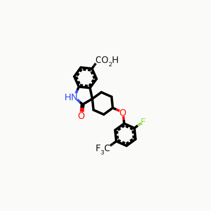 O=C(O)c1ccc2c(c1)C1(CCC(Oc3cc(C(F)(F)F)ccc3F)CC1)C(=O)N2